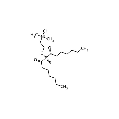 CCCCCCC(=O)P(=S)(OCC[N+](C)(C)C)C(=O)CCCCCC